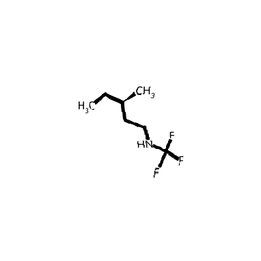 CC[C@@H](C)CCNC(F)(F)F